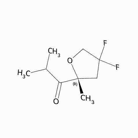 CC(C)C(=O)[C@@]1(C)CC(F)(F)CO1